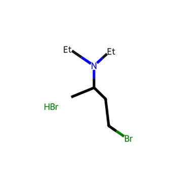 Br.CCN(CC)C(C)CCBr